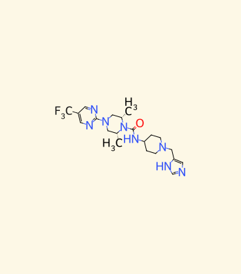 C[C@@H]1CN(c2ncc(C(F)(F)F)cn2)C[C@H](C)N1C(=O)NC1CCN(Cc2cnc[nH]2)CC1